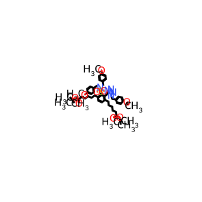 COc1ccc(CN(Cc2ccc(OC)cc2)S(=O)(=O)c2c(CCCCCC(=O)OC(C)(C)C)ccc(CCCCCC(=O)OC(C)(C)C)c2-c2nnnn2Cc2ccc(OC)cc2)cc1